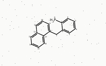 Pc1ccccc1Cc1cccc2ccccc12